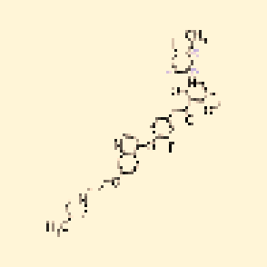 C/C=C/C=C(\C=C/CI)n1cc2c(c(C(=O)Cc3ccc(Oc4ccnc5cc(OCCCN6CCC(C)CC6)ccc45)c(F)c3)c1=O)OCC2